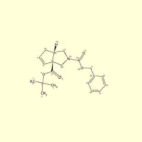 CC(C)(C)OC(=O)[C@@]12C=CC[C@@H]1CN(C(=O)OCc1ccccc1)C2